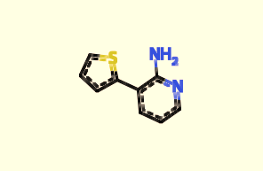 Nc1ncccc1-c1cccs1